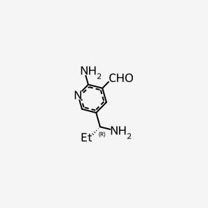 CC[C@@H](N)c1cnc(N)c(C=O)c1